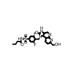 CCCC(=O)NS(=O)(=O)c1cc(F)c(Cn2c(=O)[nH]c3cnc4nc(CO)ccc4c32)c(F)c1